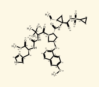 C=C[C@@H]1C[C@]1(NC(=O)[C@@H]1C[C@@H](Oc2nccc3cc(OC)ccc23)CN1C(=O)C(NC(=O)N[C@@H](Cc1c[nH]cn1)C(=O)OC)C(C)(C)C)C(=O)NS(=O)(=O)C1CC1